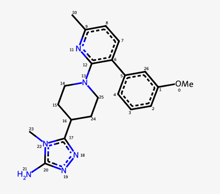 COc1cccc(-c2ccc(C)nc2N2CCC(c3nnc(N)n3C)CC2)c1